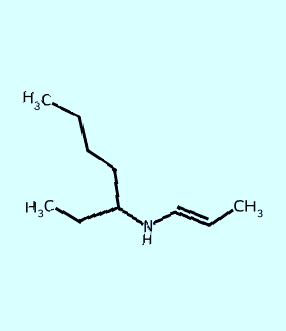 CC=CNC(CC)CCCC